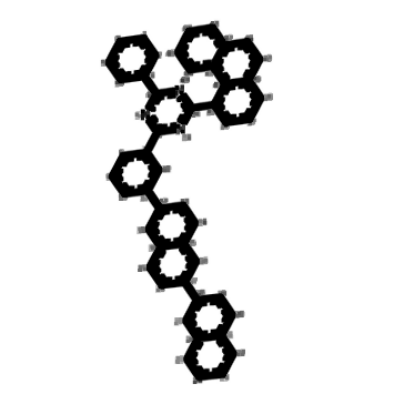 c1ccc(-c2nc(-c3cccc(-c4ccc5cc(-c6ccc7ccccc7c6)ccc5c4)c3)nc(-c3cccc4ccc5ccccc5c34)n2)cc1